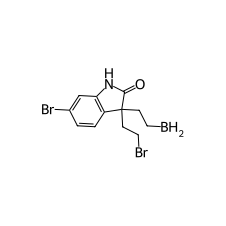 BCCC1(CCBr)C(=O)Nc2cc(Br)ccc21